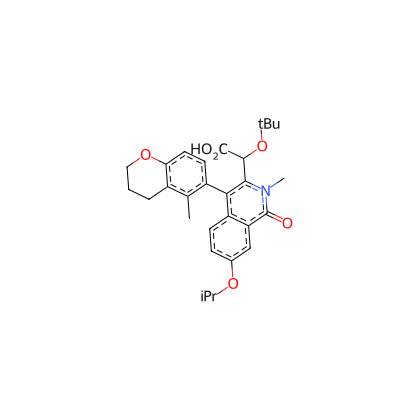 Cc1c(-c2c(C(OC(C)(C)C)C(=O)O)n(C)c(=O)c3cc(OC(C)C)ccc23)ccc2c1CCCO2